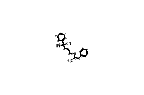 CC(Cc1ccccc1)NCCCC(C#N)(c1ccccc1)C(C)C